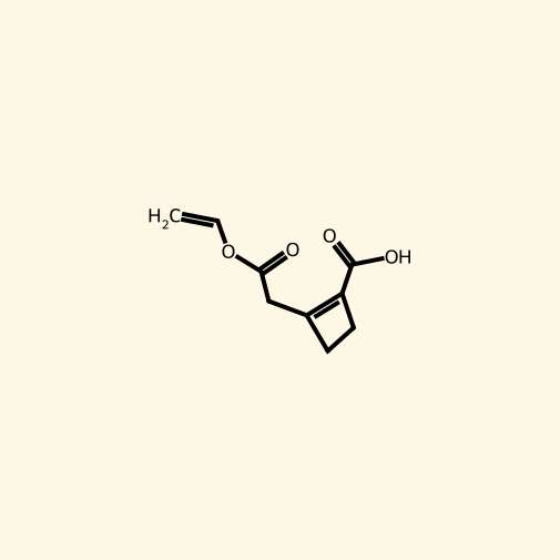 C=COC(=O)CC1=C(C(=O)O)CC1